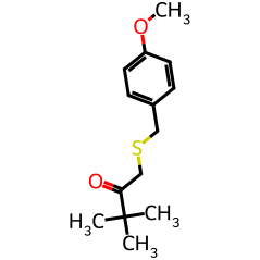 COc1ccc(CSCC(=O)C(C)(C)C)cc1